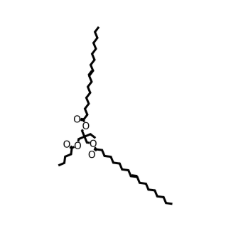 CCCCCCCC/C=C/CCCCCCCC(=O)OCC(CC)(COC(=O)CCCC)COC(=O)CCCCCCC/C=C/CCCCCCCC